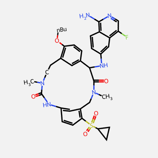 CCCCOc1ccc2cc1CCN(C)C(=O)Nc1ccc(S(=O)(=O)C3CC3)c(c1)CN(C)C(=O)C2Nc1ccc2c(N)ncc(F)c2c1